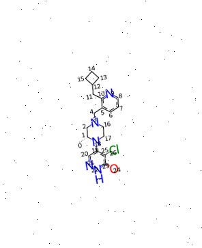 C[C@@H]1CN(Cc2cccnc2CC2CCC2)CCN1c1cn[nH]c(=O)c1Cl